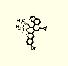 COc1nc2ccc(Br)cc2cc1C(CCC1CC1)C(CCN(C)C)c1cccc2ccoc12